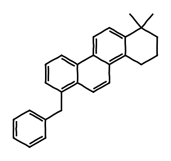 CC1(C)CCCc2c1ccc1c2ccc2c(Cc3ccccc3)cccc21